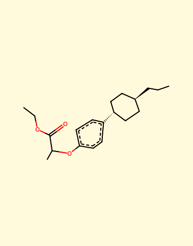 CCC[C@H]1CC[C@H](c2ccc(OC(C)C(=O)OCC)cc2)CC1